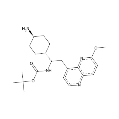 COc1ccc2nccc(CC(NC(=O)OC(C)(C)C)[C@H]3CC[C@H](N)CC3)c2n1